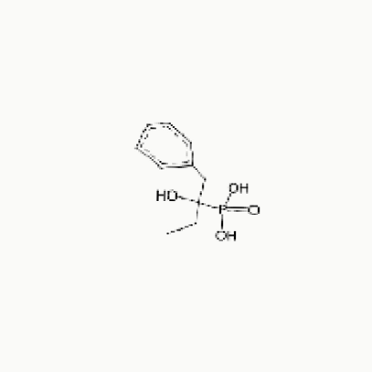 CCC(O)(Cc1ccccc1)P(=O)(O)O